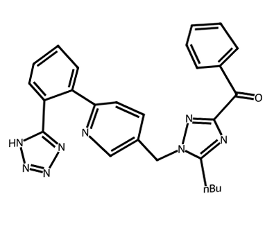 CCCCc1nc(C(=O)c2ccccc2)nn1Cc1ccc(-c2ccccc2-c2nnn[nH]2)nc1